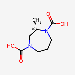 C[C@H]1CN(C(=O)O)CCCN1C(=O)O